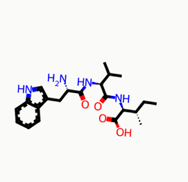 CC[C@H](C)[C@H](NC(=O)[C@@H](NC(=O)[C@@H](N)Cc1c[nH]c2ccccc12)C(C)C)C(=O)O